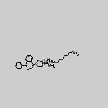 C=C(/N=C(\N)N1CCN(C(=O)c2ccccc2C(=O)c2ccccc2)CC1)NCCCCCCN